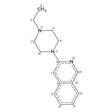 CCN1CCN(c2cc3ccccc3cn2)CC1